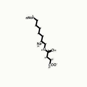 CCCCCCCCCCCCCCCCOC(=O)CCC(=O)[O-].[Na+]